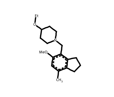 CCOC1CCN(Cc2c(OC)cc(C)c3c2CCC3)CC1